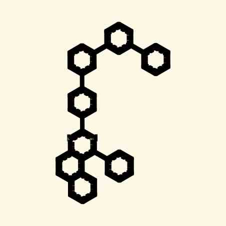 c1ccc(-c2cccc(-c3cccc(-c4ccc(-c5nc(-c6ccccc6)c6c(ccc7ccccc76)n5)cc4)c3)c2)cc1